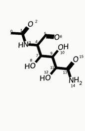 CC(=O)NC(C=O)C(O)C(O)C(O)C(N)=O